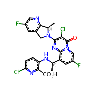 C[C@@H]1c2ncc(F)cc2CN1c1nc2c([C@@H](C)Nc3ccc(Cl)nc3C(=O)O)cc(F)cn2c(=O)c1Cl